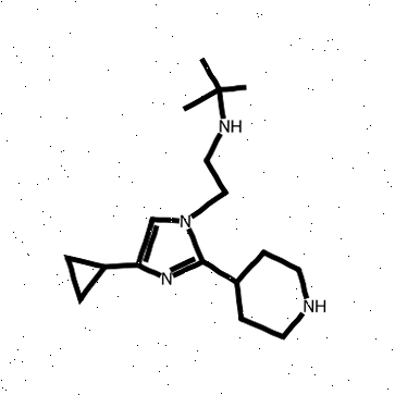 CC(C)(C)NCCn1cc(C2CC2)nc1C1CCNCC1